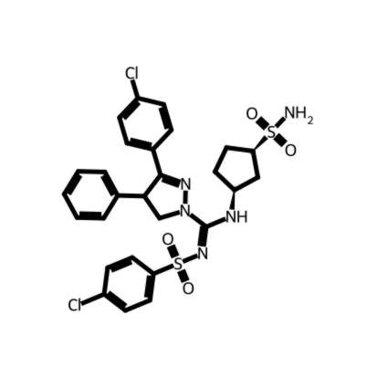 NS(=O)(=O)[C@@H]1CC[C@H](NC(=NS(=O)(=O)c2ccc(Cl)cc2)N2CC(c3ccccc3)C(c3ccc(Cl)cc3)=N2)C1